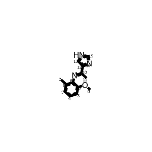 COc1cccc(C)c1N=C(C)c1c[nH]cn1